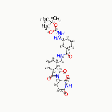 CC(C)(C)OC(=O)NNc1cccc(C(=O)NCc2cccc3c2C(=O)N(C2CCC(=O)NC2=O)C3=O)c1